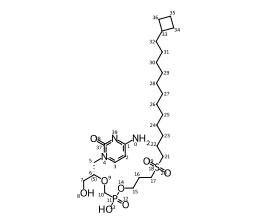 Nc1ccn(C[C@@H](CO)OCP(=O)(O)OCCCS(=O)(=O)CCCCCCCCCCCCC2CCC2)c(=O)n1